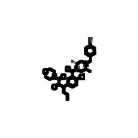 C=C/C=C(/C(=O)C(=O)N1CCOCC1)c1ccc(Cl)c(C(=O)N2C[C@H](C)N(Cc3ccc(F)cc3)C[C@H]2C)c1